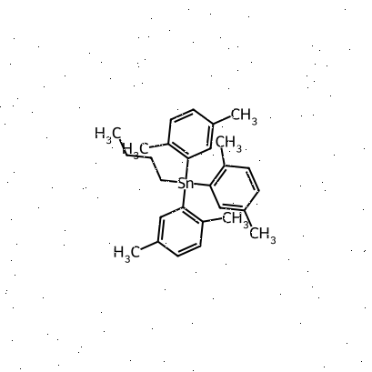 CCC[CH2][Sn]([c]1cc(C)ccc1C)([c]1cc(C)ccc1C)[c]1cc(C)ccc1C